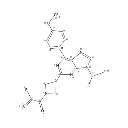 C=C(F)C(=O)N1CC(c2nc(-c3ccc(OC(F)(F)F)cc3)c3ncn(C(F)F)c3n2)C1